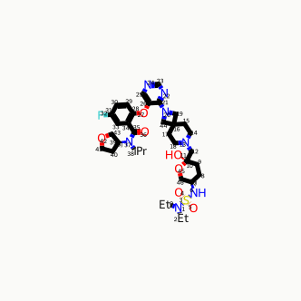 CCN(CC)S(=O)(=O)N[C@@H]1CC[C@](O)(CN2CCC3(CC2)CN(c2ncncc2Oc2ccc(F)cc2C(=O)N(C(C)C)[C@H]2CCOC2)C3)OC1